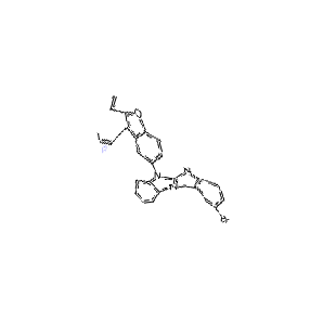 C=Cc1oc2ccc(-n3c4ccccc4n4c5cc(Br)ccc5nc34)cc2c1/C=C\C